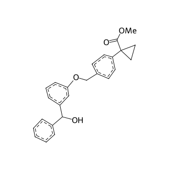 COC(=O)C1(c2ccc(COc3cccc(C(O)c4ccccc4)c3)cc2)CC1